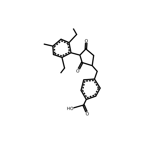 CCc1cc(C)cc(CC)c1C1C(=O)CC(Cc2ccc(C(=O)O)cc2)C1=O